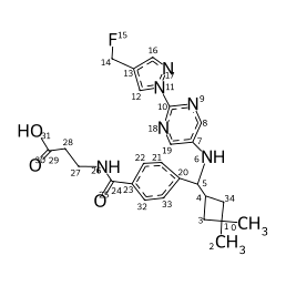 CC1(C)CC(C(Nc2cnc(-n3cc(CF)cn3)nc2)c2ccc(C(=O)NCCC(=O)O)cc2)C1